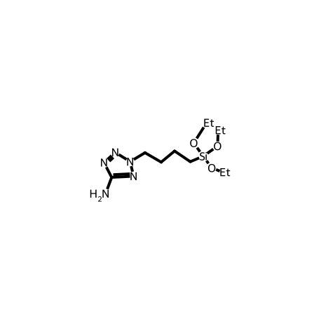 CCO[Si](CCCCn1nnc(N)n1)(OCC)OCC